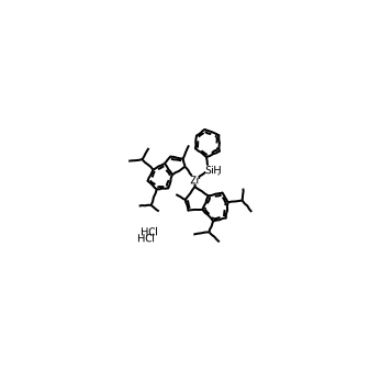 CC1=Cc2c(C(C)C)cc(C(C)C)cc2[CH]1[Zr]([CH]1C(C)=Cc2c(C(C)C)cc(C(C)C)cc21)[SiH](C)c1ccccc1.Cl.Cl